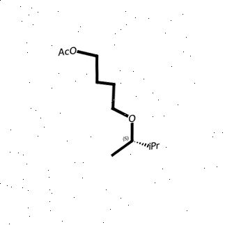 CC(=O)OCCCCO[C@@H](C)C(C)C